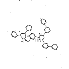 C1=C(c2cccc(-c3ccccc3)c2)NC(c2ccc3c4c(ccc3c2)NC(c2ccccc2)C=C4c2ccccc2)N=C1c1cccc(-c2ccccc2)c1